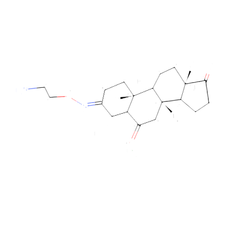 C[C@@H]1/C(=N/OCCN)CC[C@@]2(C)C1C(=O)C[C@@H]1[C@@H]2CC[C@]2(C)C(=O)CC[C@@H]12.Cl